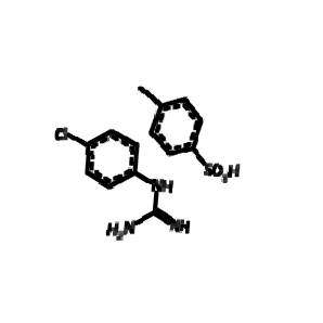 Cc1ccc(S(=O)(=O)O)cc1.N=C(N)Nc1ccc(Cl)cc1